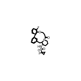 O=C1CCOc2c(F)cccc2-c2cccc(c2)CC2[C@@H](NS(=O)(=O)C3(F)CC3)CCCN12